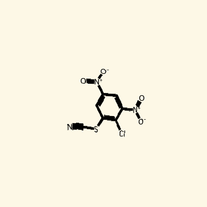 N#CSc1cc([N+](=O)[O-])cc([N+](=O)[O-])c1Cl